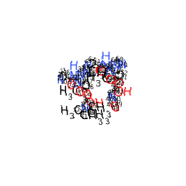 COc1c(OC[C@H](O)CN(C(C)C)C(C)C)ccc2c1N=C(NC(=O)c1cccnc1)N1CCN=C21.COc1c(OC[C@H](O)CN2CCOCC2)ccc2c1N=C(NC(=O)c1cccnc1C)N1CCN=C21